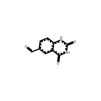 O=[C]c1ccc2[nH]c(=O)[nH]c(=O)c2c1